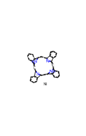 [Ni].c1ccc2c(c1)-c1cc3[nH]c(cc4nc(cc5[nH]c(cc-2n1)c1ccccc51)-c1ccccc1-4)c1ccccc31